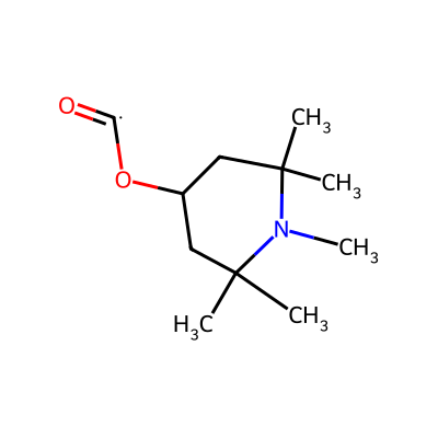 CN1C(C)(C)CC(O[C]=O)CC1(C)C